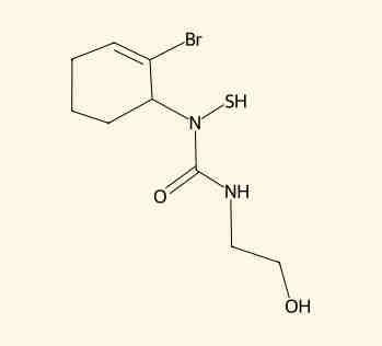 O=C(NCCO)N(S)C1CCCC=C1Br